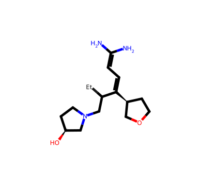 CCC(CN1CC[C@H](O)C1)/C(=C\C=C(N)N)[C@H]1CCOC1